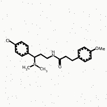 COc1ccc(CCC(=O)NCCC(c2ccc(Cl)cc2)N(C)C)cc1